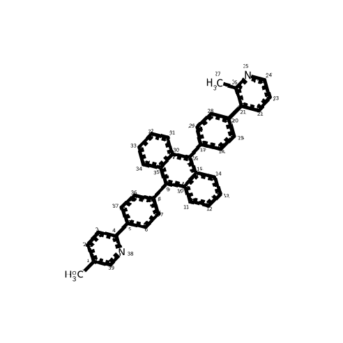 Cc1ccc(-c2ccc(-c3c4ccccc4c(-c4ccc(-c5cccnc5C)cc4)c4ccccc34)cc2)nc1